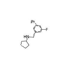 CC(C)c1cc(F)cc(CNC2CCCC2)c1